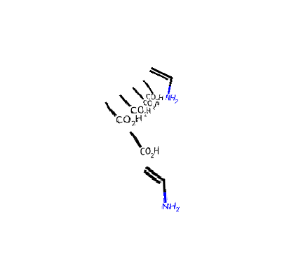 C=CN.C=CN.CC(=O)O.CC(=O)O.CC(=O)O.CC(=O)O.CC(=O)O